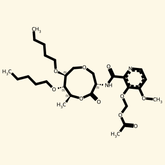 CCCCCO[C@H]1[C@H](C)OC(=O)[C@@H](NC(=O)c2nccc(OC)c2OCOC(C)=O)COC[C@@H]1OCCCCC